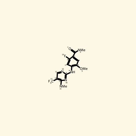 CNC(=O)c1cc(OC)c(Nc2ncc(C(F)(F)F)c(NC)n2)cc1F